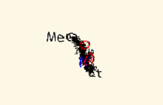 CCc1ccc(-c2nc(CCCC(=O)CCCCOC)c(C)o2)cc1